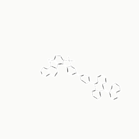 CC1(C)c2cc(-c3ccc(-c4c5ccccc5c(-c5cccc6ccccc56)c5ccccc45)cc3)ccc2-c2c1ccc1sc3c4ccccc4ccc3c21